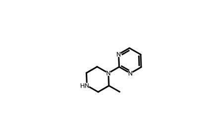 CC1CNCCN1c1ncccn1